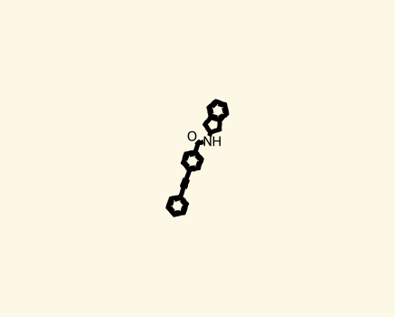 O=C(NC1Cc2ccccc2C1)c1ccc(C#Cc2ccccc2)cc1